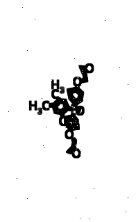 Cc1cc(C)c(P(=O)(c2ccc(OCC3CO3)cc2)c2ccc(OCC3CO3)cc2)cc1C